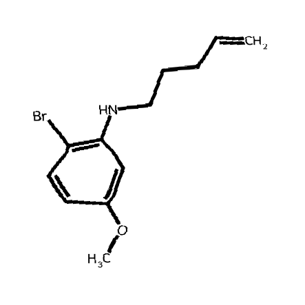 C=CCCCNc1cc(OC)ccc1Br